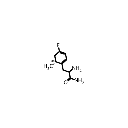 C[C@@H]1CC(F)=CC=C1CC(N)C(N)=O